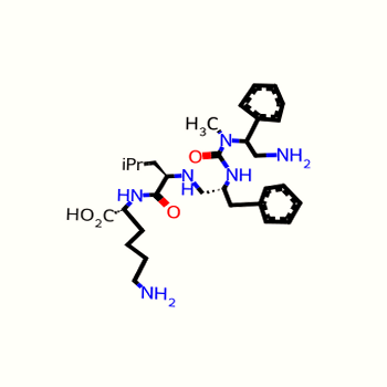 CC(C)C[C@@H](NC[C@@H](Cc1ccccc1)NC(=O)N(C)C(CN)c1ccccc1)C(=O)N[C@H](CCCCN)C(=O)O